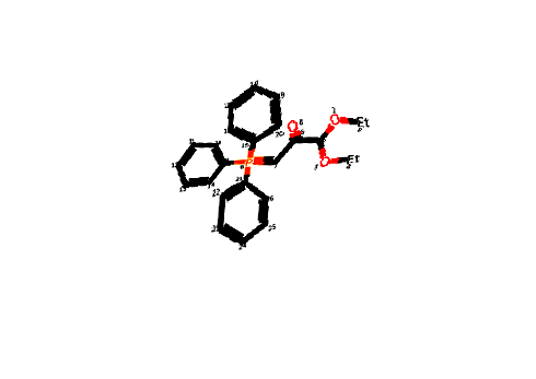 CCOC(OCC)C(=O)C=P(c1ccccc1)(c1ccccc1)c1ccccc1